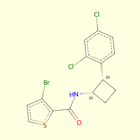 O=C(N[C@H]1CC[C@H]1c1ccc(Cl)cc1Cl)c1sccc1Br